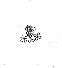 CC(C)(C)c1ccc(-c2ccc3c(c2)B2c4cc([Si](c5ccccc5)(c5ccccc5)c5ccccc5)ccc4N(c4ccc([Si](c5ccccc5)(c5ccccc5)c5ccccc5)cc4)c4cc(-n5c6ccccc6c6ccccc65)cc(c42)N3c2ccc([Si](c3ccccc3)(c3ccccc3)c3ccccc3)cc2)cc1